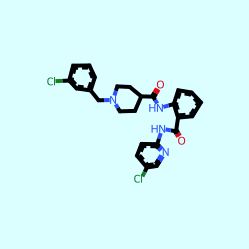 O=C(Nc1ccc(Cl)cn1)c1ccccc1NC(=O)C1CCN(Cc2cccc(Cl)c2)CC1